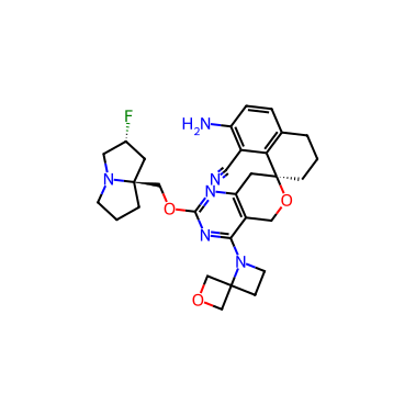 N#Cc1c(N)ccc2c1[C@]1(CCC2)Cc2nc(OC[C@@]34CCCN3C[C@H](F)C4)nc(N3CCC34COC4)c2CO1